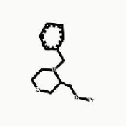 CC(C)OCC1COCCN1Cc1ccccc1